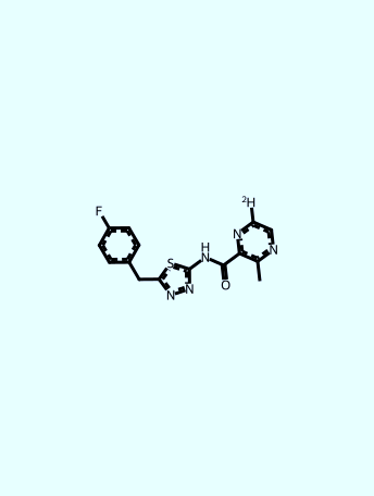 [2H]c1cnc(C)c(C(=O)Nc2nnc(Cc3ccc(F)cc3)s2)n1